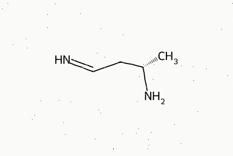 C[C@H](N)CC=N